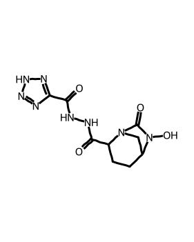 O=C(NNC(=O)C1CCC2CN1C(=O)N2O)c1nn[nH]n1